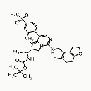 Cc1cc(S(C)(=O)=O)ccc1-c1cnc(NCc2c(F)ccc3c2CCO3)n2cc(C(C)NC(=O)OC(C)(C)C)nc12